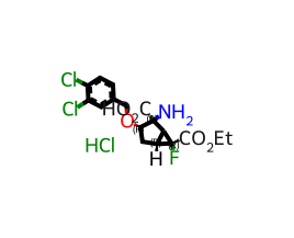 CCOC(=O)[C@]1(F)C2[C@H]1C[C@@H](OCc1ccc(Cl)c(Cl)c1)[C@@]2(N)C(=O)O.Cl